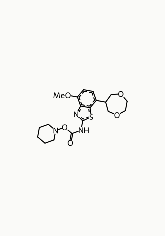 COc1ccc(C2COCCOC2)c2sc(NC(=O)ON3CCCCC3)nc12